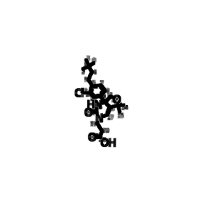 CC(C)(C)CCc1ccc(C23COC(C)(C)C2=CN(CCC(=O)O)C(=O)N3)cc1Cl